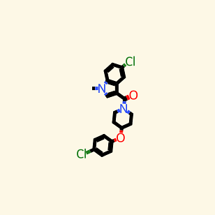 Cn1cc(C(=O)N2CCC(Oc3ccc(Cl)cc3)CC2)c2cc(Cl)ccc21